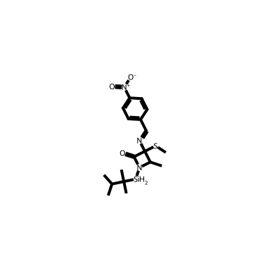 CSC1(N=Cc2ccc([N+](=O)[O-])cc2)C(=O)N([SiH2]C(C)(C)C(C)C)C1C